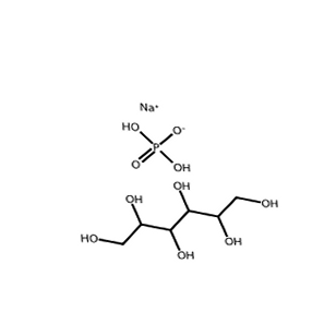 O=P([O-])(O)O.OCC(O)C(O)C(O)C(O)CO.[Na+]